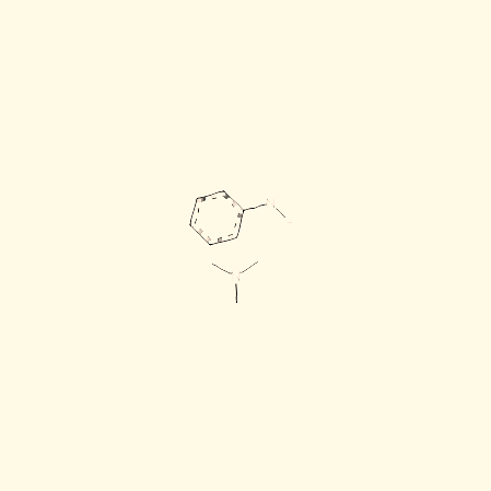 BrNc1ccccc1.CN(C)C